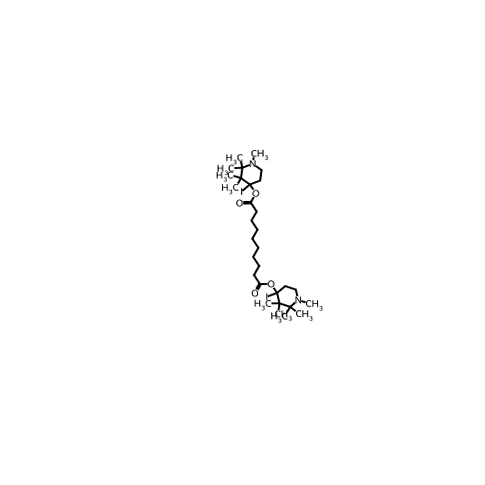 CN1CCC(I)(OC(=O)CCCCCCCCC(=O)OC2(I)CCN(C)C(C)(C)C2(C)C)C(C)(C)C1(C)C